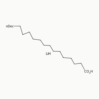 CCCCCCCCCCCCCCCCCCCCCCCC(=O)O.[LiH]